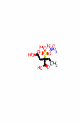 CCC(CC(=O)O)(C(=O)O)S(=O)(=O)O.N.O